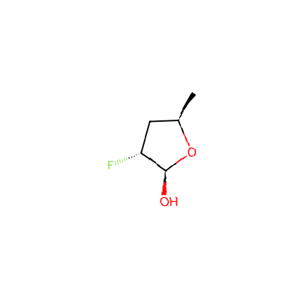 C[C@@H]1C[C@@H](F)[C@H](O)O1